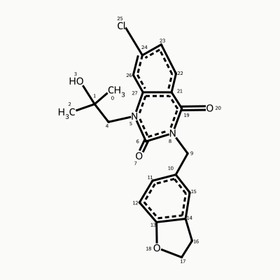 CC(C)(O)Cn1c(=O)n(Cc2ccc3c(c2)CCO3)c(=O)c2ccc(Cl)cc21